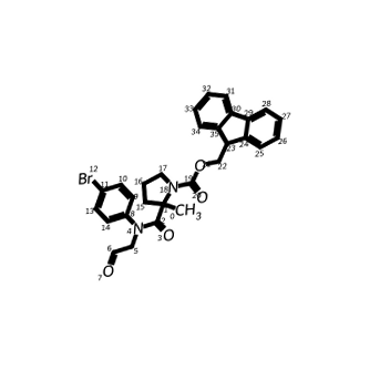 CC1(C(=O)N(CC=O)c2ccc(Br)cc2)CCCN1C(=O)OCC1c2ccccc2-c2ccccc21